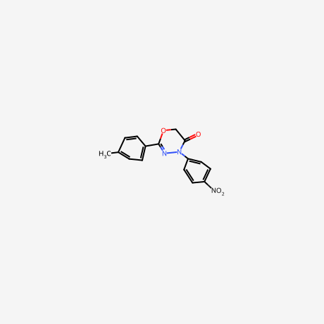 Cc1ccc(C2=NN(c3ccc([N+](=O)[O-])cc3)C(=O)CO2)cc1